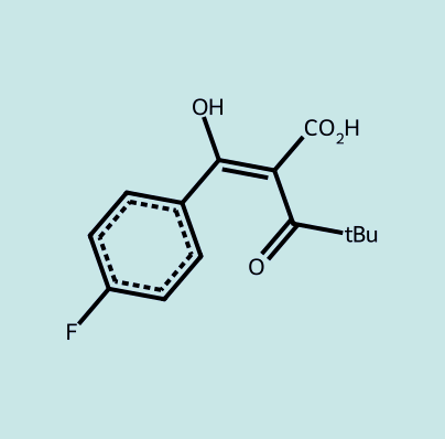 CC(C)(C)C(=O)C(C(=O)O)=C(O)c1ccc(F)cc1